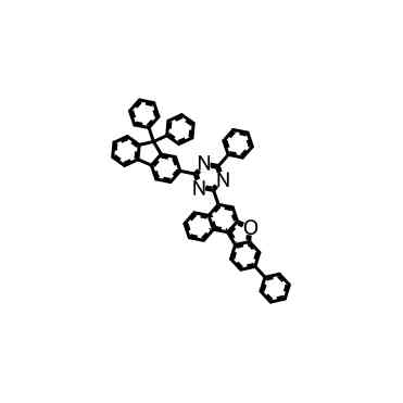 c1ccc(-c2ccc3c(c2)oc2cc(-c4nc(-c5ccccc5)nc(-c5ccc6c(c5)C(c5ccccc5)(c5ccccc5)c5ccccc5-6)n4)c4ccccc4c23)cc1